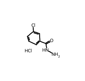 Cl.NNC(=O)c1cccc(Cl)c1